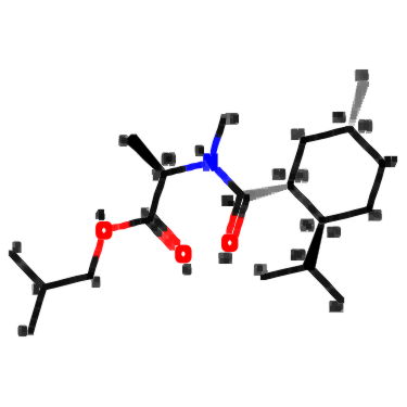 CC(C)COC(=O)[C@@H](C)N(C)C(=O)[C@@H]1C[C@H](C)CC[C@H]1C(C)C